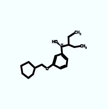 CCC(CC)[C@@H](O)c1cccc(OCC2CCCCC2)c1